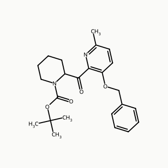 Cc1ccc(OCc2ccccc2)c(C(=O)C2CCCCN2C(=O)OC(C)(C)C)n1